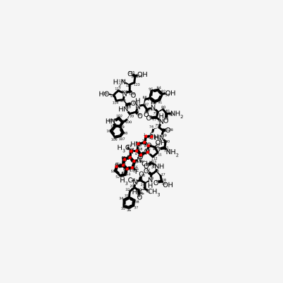 CCCC[C@@H](C(=O)N1C[C@H](O)C[C@@H]1C(=O)N[C@@H](CC(=O)O)C(=O)N[C@H](C(=O)N(C)C(C=O)Cc1ccccc1)C(C)C)N(C)C(=O)[C@H](Cc1ccccc1)N(C)C(=O)[C@H](Cc1cc(F)c(F)c(F)c1)NC(=O)CSC[C@H](NC(=O)[C@H](CC(N)=O)NC(=O)[C@H](Cc1ccc(O)cc1)NC(=O)[C@H](Cc1c[nH]c2ccccc12)NC(=O)[C@H]1C[C@@H](O)CN1C(=O)[C@@H](N)CC(=O)O)C(=O)NCC(N)=O